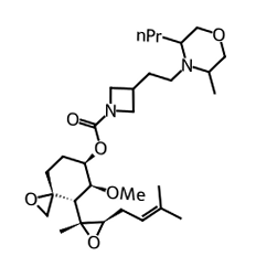 CCCC1COCC(C)N1CCC1CN(C(=O)O[C@@H]2CC[C@]3(CO3)[C@@H]([C@@]3(C)O[C@@H]3CC=C(C)C)[C@@H]2OC)C1